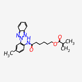 C=C(C)C(=O)OCCCCCC(=O)Nc1ccc(C)cc1-n1nc2ccccc2n1